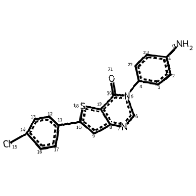 Nc1ccc(-n2cnc3cc(-c4ccc(Cl)cc4)sc3c2=O)cc1